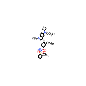 CCCn1cc(Cc2ccc(C(=O)NS(=O)(=O)c3ccccc3C)cc2OC)c2cc(N(C(=O)O)C3CCCC3)ccc21